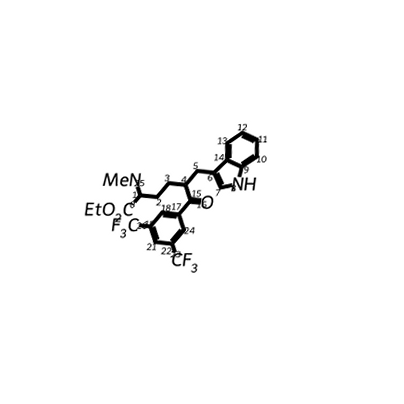 CCOC(=O)C(CCC(Cc1c[nH]c2ccccc12)C(=O)c1cc(C(F)(F)F)cc(C(F)(F)F)c1)NC